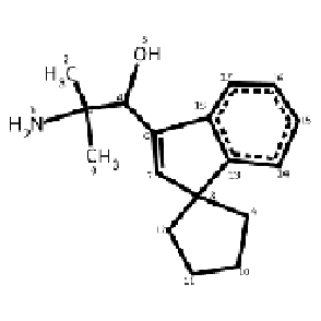 CC(C)(N)C(O)C1=CC2(CCCC2)c2ccccc21